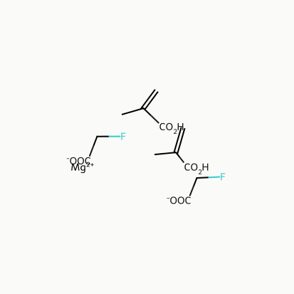 C=C(C)C(=O)O.C=C(C)C(=O)O.O=C([O-])CF.O=C([O-])CF.[Mg+2]